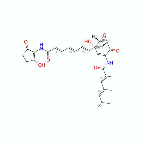 CC(=C\C(C)C)/C=C(\C)C(=O)NC1=C[C@@](O)(/C=C/C=C/C=C/C(=O)NC2=C(O)CCC2=O)[C@@H]2O[C@@H]2C1=O